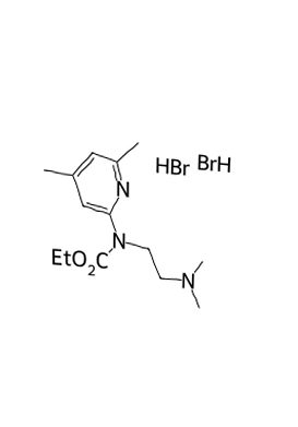 Br.Br.CCOC(=O)N(CCN(C)C)c1cc(C)cc(C)n1